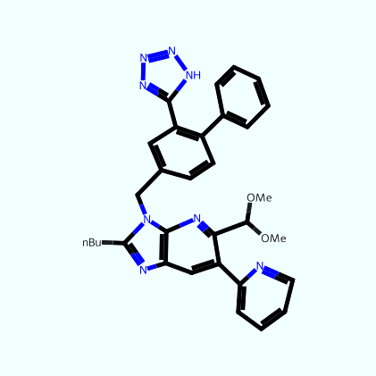 CCCCc1nc2cc(-c3ccccn3)c(C(OC)OC)nc2n1Cc1ccc(-c2ccccc2)c(-c2nnn[nH]2)c1